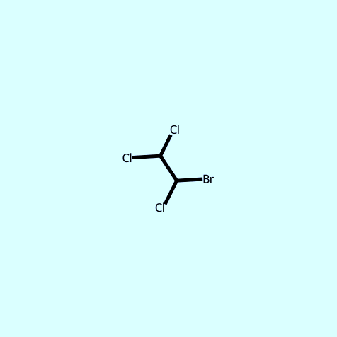 ClC(Cl)C(Cl)Br